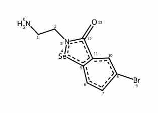 NCCn1[se]c2ccc(Br)cc2c1=O